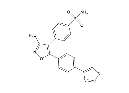 Cc1noc(-c2ccc(-c3cscn3)cc2)c1-c1ccc(S(N)(=O)=O)cc1